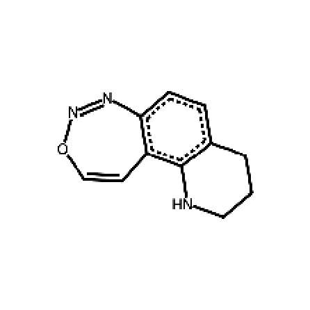 C1=Cc2c(ccc3c2NCCC3)N=NO1